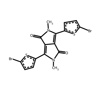 CN1C(=O)C2=C(c3ccc(Br)s3)N(C)C(=O)C2=C1c1ccc(Br)s1